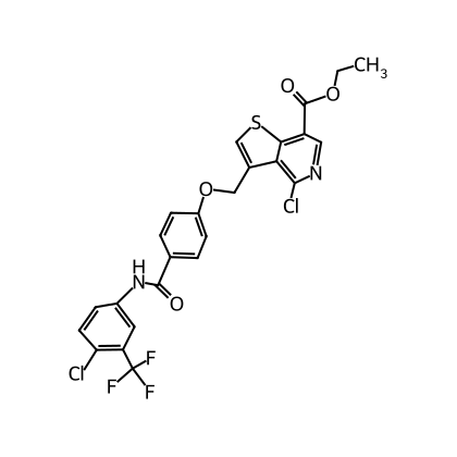 CCOC(=O)c1cnc(Cl)c2c(COc3ccc(C(=O)Nc4ccc(Cl)c(C(F)(F)F)c4)cc3)csc12